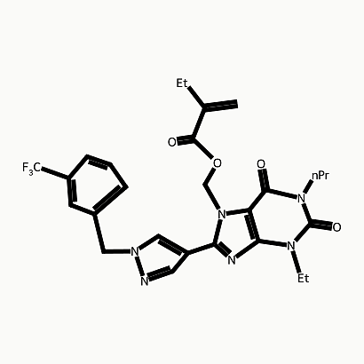 C=C(CC)C(=O)OCn1c(-c2cnn(Cc3cccc(C(F)(F)F)c3)c2)nc2c1c(=O)n(CCC)c(=O)n2CC